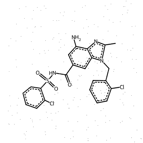 Cc1nc2c(N)cc(C(=O)NS(=O)(=O)c3ccccc3Cl)cc2n1Cc1ccccc1Cl